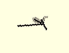 [CH]=C(c1[c]c(CCCCCC)cc(CCCCCCCCCCCCCCCCCC)c1C(F)(F)C(F)(F)C(F)(F)C(F)(F)C(F)(F)F)N(C)CO